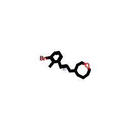 Cc1c(Br)cccc1/C=C/CC1CCCCOCC1